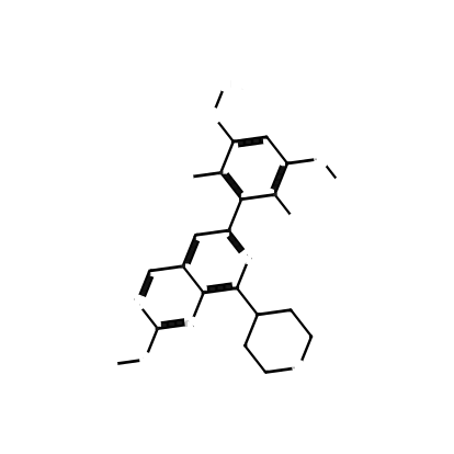 COc1cc(OC)c(Cl)c(-c2cc3cnc(SC)nc3c(C3CCOCC3)n2)c1C